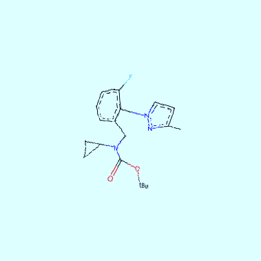 Cc1ccn(-c2c(F)cccc2CN(C(=O)OC(C)(C)C)C2CC2)n1